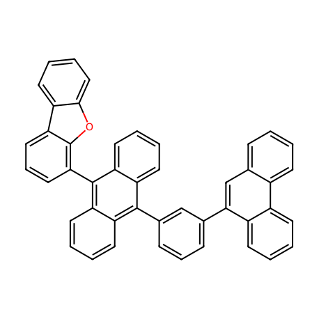 c1cc(-c2c3ccccc3c(-c3cccc4c3oc3ccccc34)c3ccccc23)cc(-c2cc3ccccc3c3ccccc23)c1